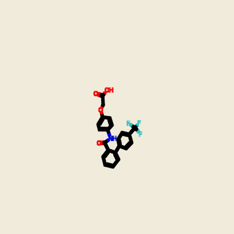 O=C(O)COc1ccc(NC(=O)c2ccccc2-c2ccc(C(F)(F)F)cc2)cc1